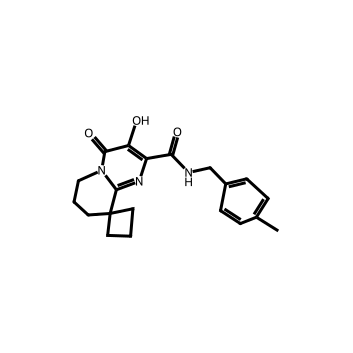 Cc1ccc(CNC(=O)c2nc3n(c(=O)c2O)CCCC32CCC2)cc1